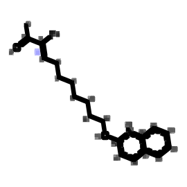 CC(=O)/C(F)=C/CCCCCCCOc1ccc2ccccc2n1